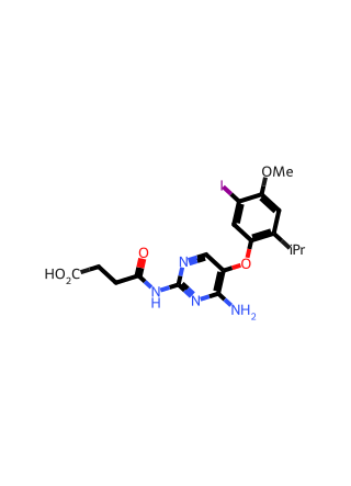 COc1cc(C(C)C)c(Oc2cnc(NC(=O)CCC(=O)O)nc2N)cc1I